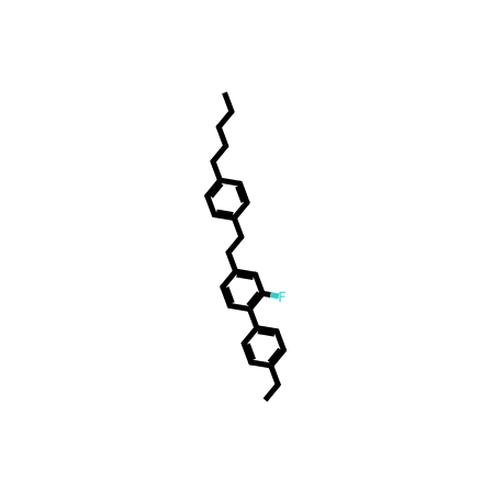 CCCCCc1ccc(CCc2ccc(-c3ccc(CC)cc3)c(F)c2)cc1